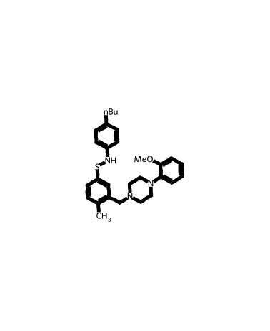 CCCCc1ccc(NSc2ccc(C)c(CN3CCN(c4ccccc4OC)CC3)c2)cc1